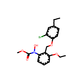 CCOc1cccc(N(O)C(=O)OC)c1COc1ccc(CC)cc1Br